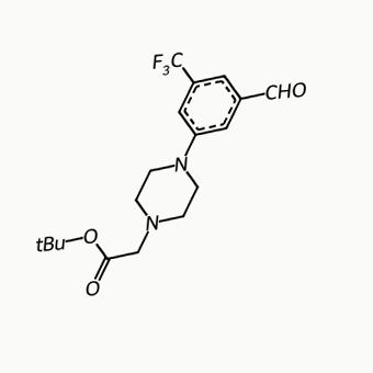 CC(C)(C)OC(=O)CN1CCN(c2cc(C=O)cc(C(F)(F)F)c2)CC1